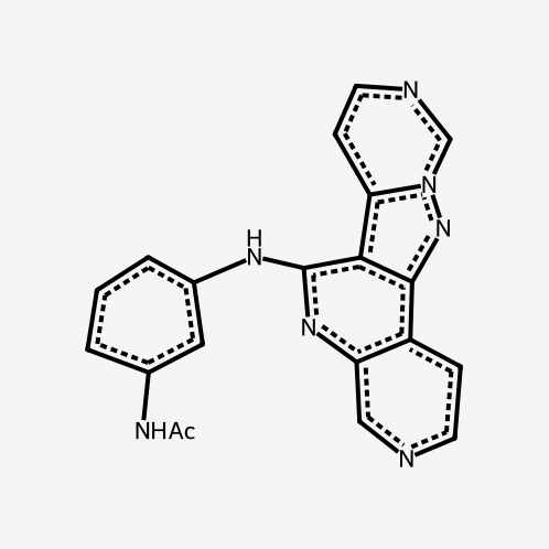 CC(=O)Nc1cccc(Nc2nc3cnccc3c3nn4cnccc4c23)c1